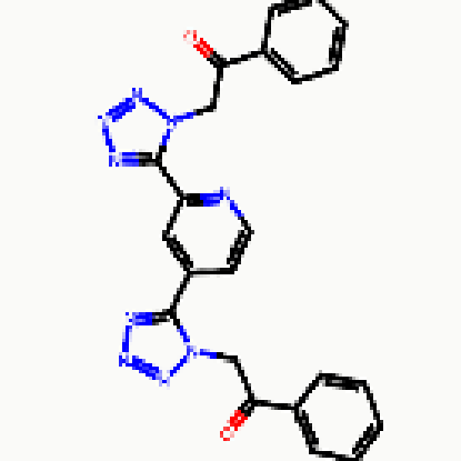 O=C(Cn1nnnc1-c1ccnc(-c2nnnn2CC(=O)c2ccccc2)c1)c1ccccc1